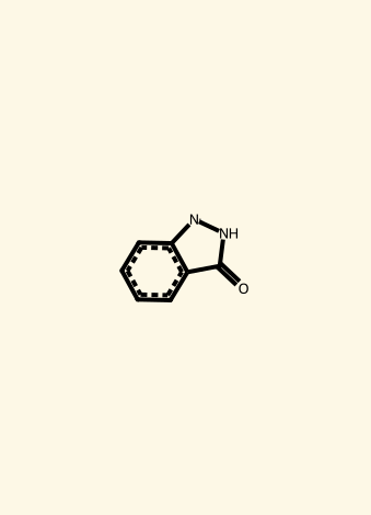 O=C1N[N]c2ccccc21